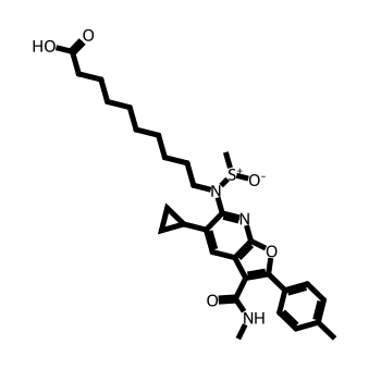 CNC(=O)c1c(-c2ccc(C)cc2)oc2nc(N(CCCCCCCCCC(=O)O)[S+](C)[O-])c(C3CC3)cc12